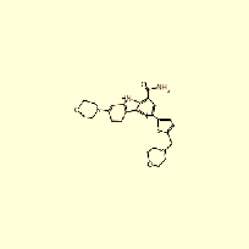 NC(=O)c1cc(-c2ccc(CN3CCOCC3)s2)nc2c1[nH]c1cc(N3CCOCC3)ccc12